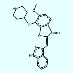 COc1ccc2c(c1OC1CCNCC1)OC(=Cc1n[nH]c3ccccc13)C2=O